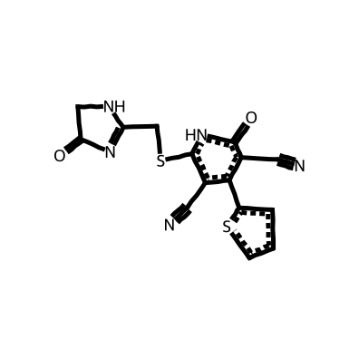 N#Cc1c(SCC2=NC(=O)CN2)[nH]c(=O)c(C#N)c1-c1cccs1